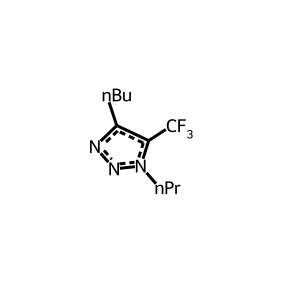 CCCCc1nnn(CCC)c1C(F)(F)F